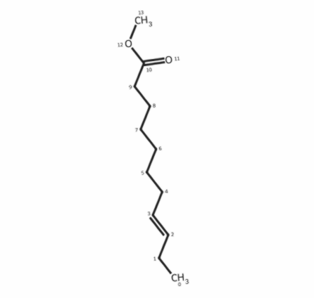 CCC=CCCCCCCC(=O)OC